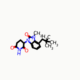 Cn1c(=O)n(C2CCC(=O)NC2=O)c2cccc(CC(C)(C)C)c21